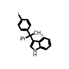 CC(C)C(C)(c1ccc(I)cc1)c1c[nH]c2ccccc12